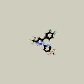 CS(=O)(=O)c1ccc(-n2nc(C(F)(F)F)cc2-c2ccc(Cl)c(Cl)c2)nc1